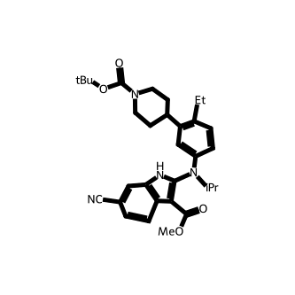 CCc1ccc(N(c2[nH]c3cc(C#N)ccc3c2C(=O)OC)C(C)C)cc1C1CCN(C(=O)OC(C)(C)C)CC1